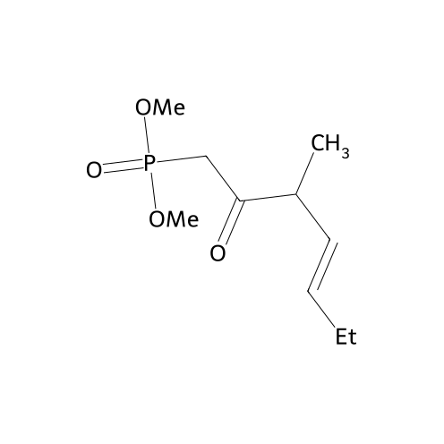 CCC=CC(C)C(=O)CP(=O)(OC)OC